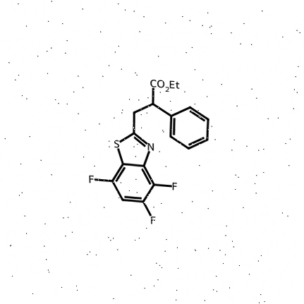 CCOC(=O)C(Cc1nc2c(F)c(F)cc(F)c2s1)c1ccccc1